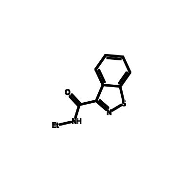 CCNC(=O)c1nsc2ccccc12